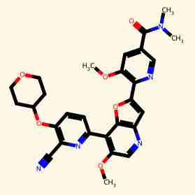 COc1cc(C(=O)N(C)C)cnc1-c1cc2ncc(OC)c(-c3ccc(OC4CCOCC4)c(C#N)n3)c2o1